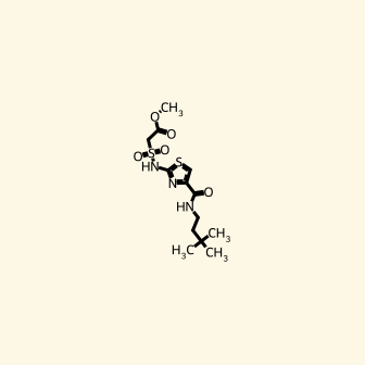 COC(=O)CS(=O)(=O)Nc1nc(C(=O)NCCC(C)(C)C)cs1